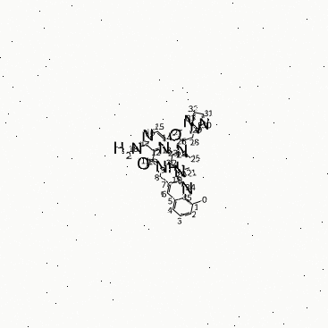 Cc1cccc2cc(CNC(=O)c3nccnc3N)c(N(C)CCN(C)C(=O)Cn3nccn3)nc12